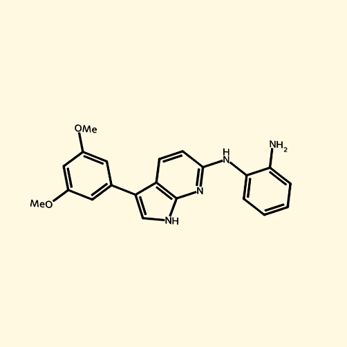 COc1cc(OC)cc(-c2c[nH]c3nc(Nc4ccccc4N)ccc23)c1